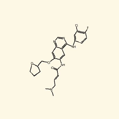 CN(C)C/C=C/C(=O)Nc1cc2c(Nc3ccc(F)c(Cl)c3)ncnc2cc1OCC1CCCO1